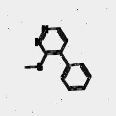 CSc1nnccc1-c1ccccc1